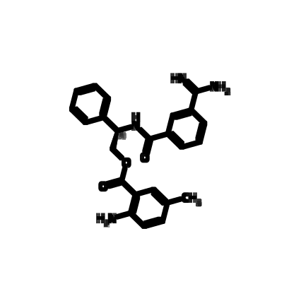 Cc1ccc(N)c(C(=O)OC[C@H](NC(=O)c2cccc(C(=N)N)c2)c2ccccc2)c1